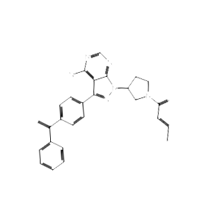 C=C(c1ccccc1)c1ccc(-c2nn(C3CCN(C(=O)/C=C/C)C3)c3ncnc(N)c23)cc1